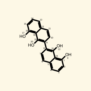 Oc1cccc2ccc(-c3ccc4cccc(O)c4c3O)c(O)c12